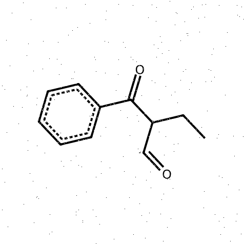 CCC([C]=O)C(=O)c1ccccc1